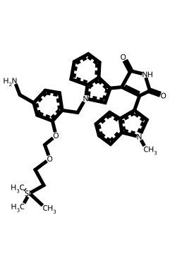 Cn1cc(C2=C(c3cn(Cc4ccc(CN)cc4OCOCC[Si](C)(C)C)c4ccccc34)C(=O)NC2=O)c2ccccc21